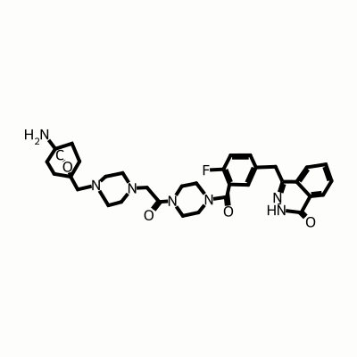 NC12CCC(CN3CCN(CC(=O)N4CCN(C(=O)c5cc(Cc6n[nH]c(=O)c7ccccc67)ccc5F)CC4)CC3)(CC1)OC2